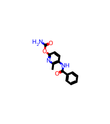 Cc1nc(OC(N)=O)ccc1NC(=O)c1ccccc1